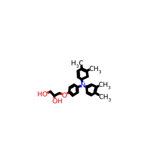 CC1=C(C)CC(N(c2ccc(OCC(O)CO)cc2)c2ccc(C)c(C)c2)C=C1